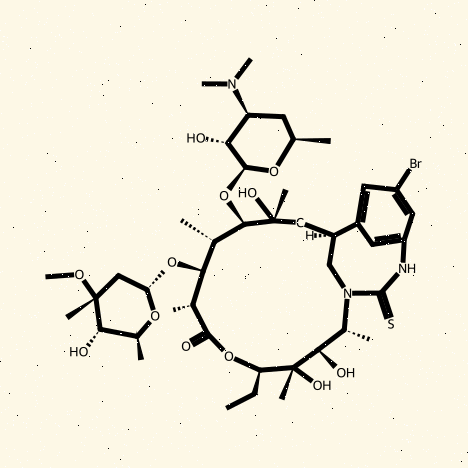 CC[C@H]1OC(=O)[C@H](C)[C@@H](O[C@H]2C[C@@](C)(OC)[C@@H](O)[C@H](C)O2)[C@H](C)[C@@H](O[C@@H]2O[C@H](C)C[C@H](N(C)C)[C@H]2O)[C@](C)(O)C[C@@H]2CN(C(=S)Nc3cc(Br)cc2c3)[C@H](C)[C@@H](O)[C@]1(C)O